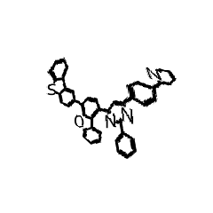 c1ccc(-c2nc(-c3ccc(-c4ccccn4)cc3)cc(-c3ccc(-c4ccc5sc6ccccc6c5c4)c4oc5ccccc5c34)n2)cc1